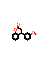 COc1cccc(C2CC(=O)Oc3ccccc32)c1